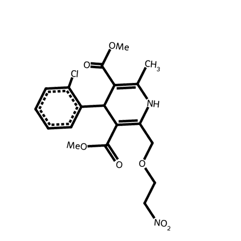 COC(=O)C1=C(C)NC(COCC[N+](=O)[O-])=C(C(=O)OC)C1c1ccccc1Cl